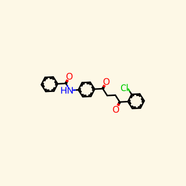 O=C(CCC(=O)c1ccccc1Cl)c1ccc(NC(=O)c2ccccc2)cc1